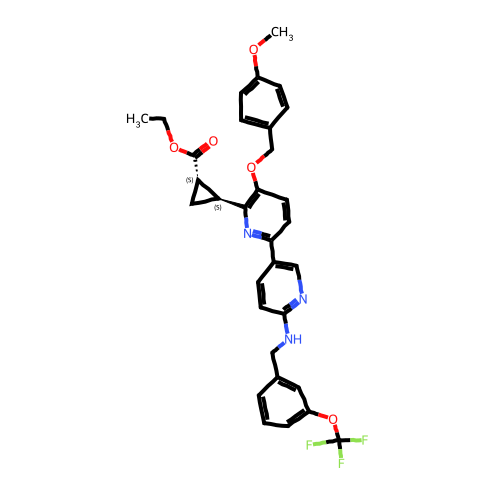 CCOC(=O)[C@H]1C[C@@H]1c1nc(-c2ccc(NCc3cccc(OC(F)(F)F)c3)nc2)ccc1OCc1ccc(OC)cc1